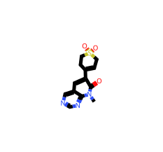 Cn1c(=O)c(C2=CCS(=O)(=O)CC2)cc2cncnc21